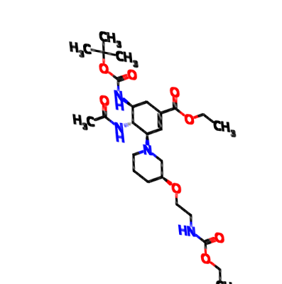 CCOC(=O)NCCO[C@H]1CCCN([C@@H]2C=C(C(=O)OCC)C[C@H](NC(=O)OC(C)(C)C)[C@H]2NC(C)=O)C1